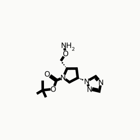 CC(C)(C)OC(=O)N1C[C@@H](n2cncn2)C[C@H]1CON